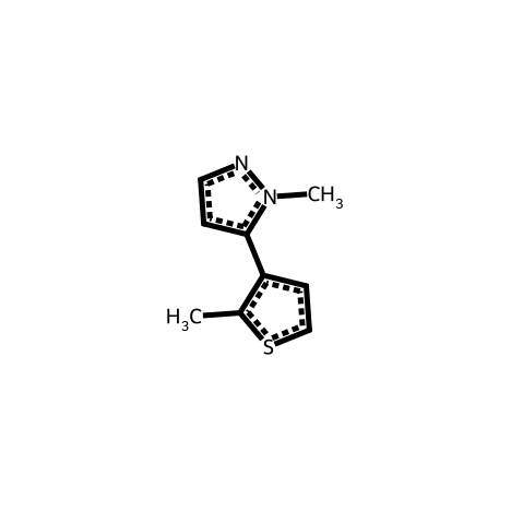 Cc1sccc1-c1ccnn1C